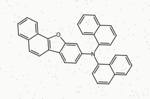 c1ccc2c(N(c3ccc4c(c3)oc3c5ccccc5ccc43)c3cccc4ccccc34)cccc2c1